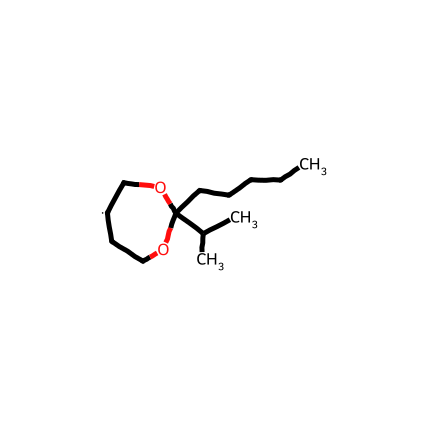 CCCCCC1(C(C)C)OC[CH]CCO1